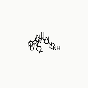 COc1nccc2c3cnc(Nc4ccc(N5CCNCC5)cn4)nc3n(C3CCC(C)(C)CC3)c12